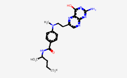 CN(CCc1cnc2nc(N)nc(O)c2n1)c1ccc(C(=O)NC(CCC(=O)O)C(=O)O)cc1